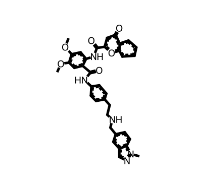 COc1cc(NC(=O)c2cc(=O)c3ccccc3o2)c(C(=O)Nc2ccc(CCNCc3ccc4c(cnn4C)c3)cc2)cc1OC